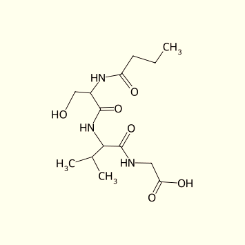 CCCC(=O)NC(CO)C(=O)NC(C(=O)NCC(=O)O)C(C)C